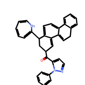 O=C(c1ccnn1-c1ccccc1)C1C=c2c(ccc3c2=CCc2ccccc2-3)C(C2=CC=CC=CN2)C1